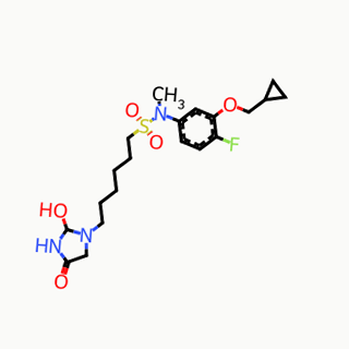 CN(c1ccc(F)c(OCC2CC2)c1)S(=O)(=O)CCCCCCN1CC(=O)NC1O